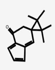 CC1(C)C(C)(C)C12C=C1C=CC=C1C(=O)C2